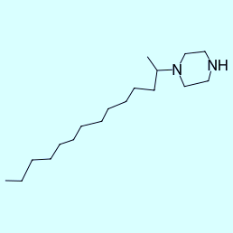 CCCCCCCCCCCCC(C)N1CCNCC1